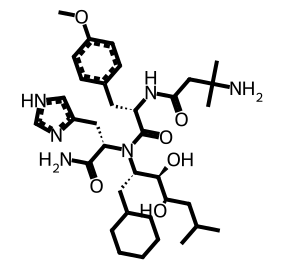 COc1ccc(C[C@H](NC(=O)CC(C)(C)N)C(=O)N([C@@H](Cc2c[nH]cn2)C(N)=O)[C@@H](CC2CCCCC2)[C@@H](O)[C@@H](O)CC(C)C)cc1